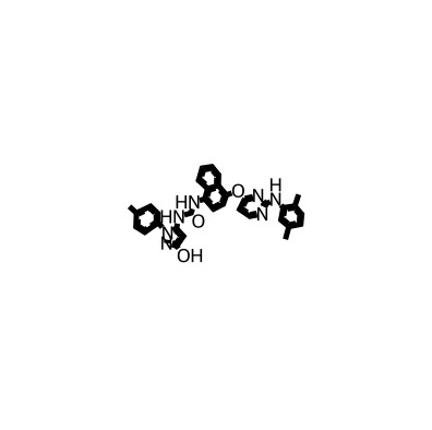 Cc1ccc(-n2nc(O)cc2NC(=O)Nc2ccc(Oc3ccnc(Nc4cc(C)ccc4C)n3)c3ccccc23)cc1